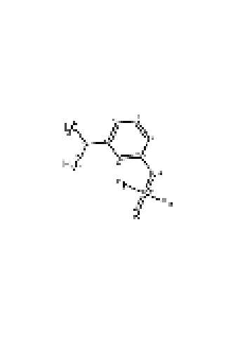 CC(C)c1cccc(N=S(=O)(F)F)c1